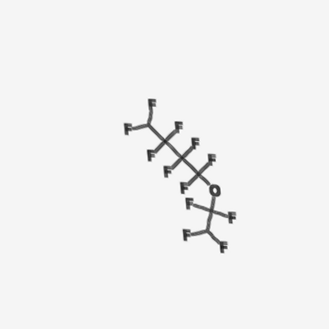 FC(F)C(F)(F)OC(F)(F)C(F)(F)C(F)(F)C(F)F